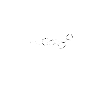 Cc1c(-c2ccccc2)cccc1-c1nc2ccc(CO)cn2n1